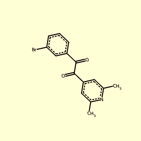 Cc1cc(C(=O)C(=O)c2cccc(Br)c2)cc(C)n1